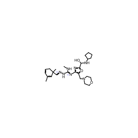 CN/C(=N\c1nc(C(O)NC2CCCC2)oc1CN1CCOCC1)N/N=C/C1(C)C=C(C)C=CC1